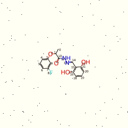 CC(Oc1cccc(F)c1)C(=O)NN=Cc1c(O)cccc1O